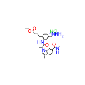 CCOC(=O)CCCc1ccc(CNN)cc1NC(=O)C(C)n1cc(C)c2ccc(C(=O)NC)cc21.Cl